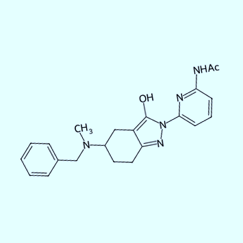 CC(=O)Nc1cccc(-n2nc3c(c2O)CC(N(C)Cc2ccccc2)CC3)n1